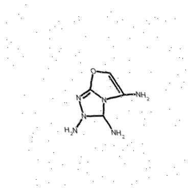 NC1=COC2=NN(N)C(N)N12